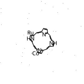 C1=Cc2cc3ccc(cc4nc(cc5ccc(cc1n2)[nH]5)C=C4)[nH]3.[Co].[Ru]